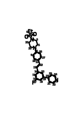 CCS(=O)(=O)N1CCN(c2ccc(C=Cc3cc(F)cc(-c4ccncc4)c3)cc2)CC1